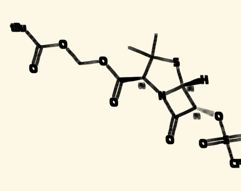 CC(C)(C)C(=O)OCOC(=O)[C@@H]1N2C(=O)[C@@H](OS(=O)(=O)C(F)(F)F)[C@H]2SC1(C)C